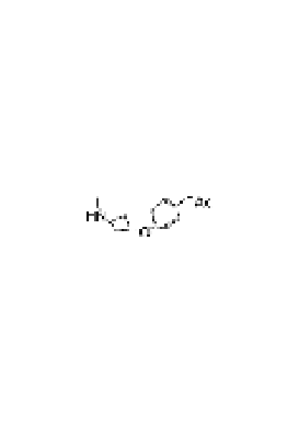 CC(=O)Cc1ccc(O[C@H]2C[C@@H](NI)C2)cc1